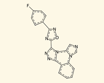 Fc1ccc(-c2noc(-c3nnc4c5ccccc5n5cncc5n34)n2)cc1